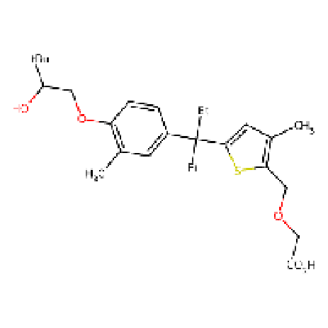 CCC(CC)(c1ccc(OCC(O)C(C)(C)C)c(C)c1)c1cc(C)c(COCC(=O)O)s1